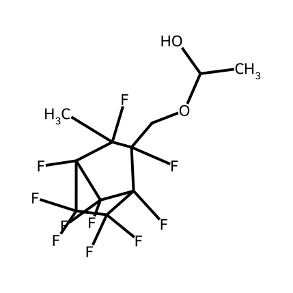 CC(O)OCC1(F)C(C)(F)C2(F)C(F)(F)C(F)(F)C1(F)C2(F)F